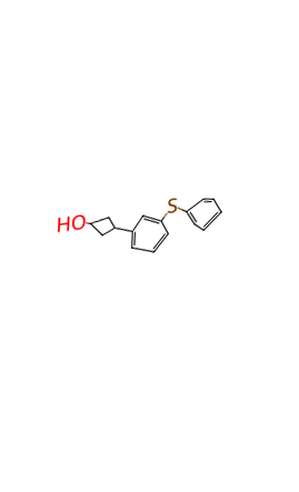 OC1CC(c2cccc(Sc3ccccc3)c2)C1